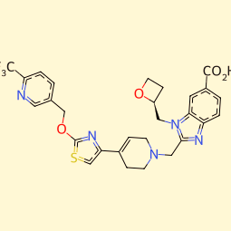 O=C(O)c1ccc2nc(CN3CC=C(c4csc(OCc5ccc(C(F)(F)F)nc5)n4)CC3)n(C[C@@H]3CCO3)c2c1